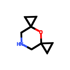 C1CC12CNCC1(CC1)O2